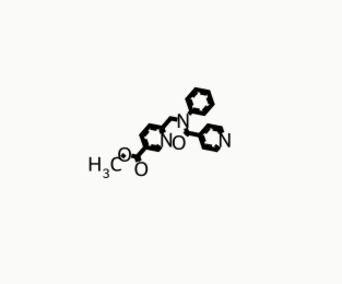 COC(=O)c1ccc(CN(C(=O)c2ccncc2)c2ccccc2)nc1